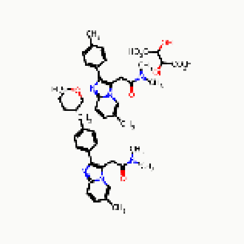 C1CC[SiH2]OC1.Cc1ccc(-c2nc3ccc(C)cn3c2CC(=O)N(C)C)cc1.Cc1ccc(-c2nc3ccc(C)cn3c2CC(=O)N(C)C)cc1.O=C(O)C(O)C(O)C(=O)O